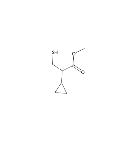 COC(=O)C(CS)C1CC1